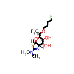 CN(C)C1=N[C@@H]2[C@@H](O)[C@H](O)C([C@@H](OCCCCF)C(F)(F)F)O[C@@H]2S1